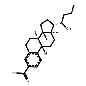 CCCC(O)[C@H]1CC[C@H]2[C@@H]3CCc4cc(C(=O)O)ccc4[C@H]3CC[C@]12C